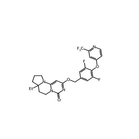 CCC12CCCN1c1cc(OCc3cc(F)c(Oc4ccnc(C(F)(F)F)c4)c(F)c3)nc(=O)n1CC2